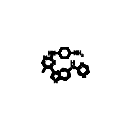 Cc1cnc(NC2CCC(N)CC2)nc1-c1cnc2ccc(Nc3cnccn3)cn12